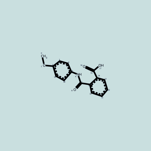 COc1ccc(NC(=O)c2ccccc2C(=O)O)cc1